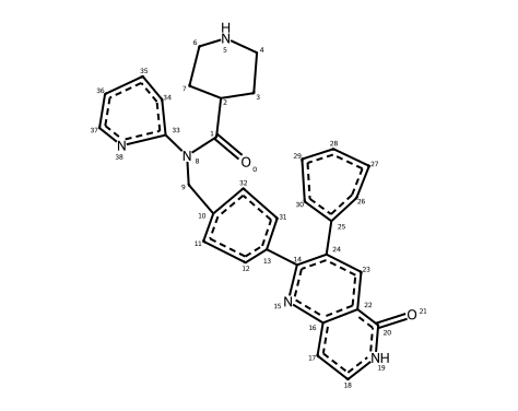 O=C(C1CCNCC1)N(Cc1ccc(-c2nc3cc[nH]c(=O)c3cc2-c2ccccc2)cc1)c1ccccn1